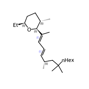 CCCCCCC(C)(C)C[C@H](C)/C=C/C=C(\C)[C@H]1O[C@@H](CC)CC[C@@H]1C